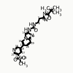 CC(C)(C)c1nc(CCNC(=O)Nc2cn3cc(-c4cncc(S(C)(=O)=O)c4)ccc3n2)no1